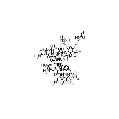 CC[C@H](C)[C@H](NC(=O)[C@@H](NC(=O)[C@@H](CCC(=O)O)NC1(C(C)(NCC(=O)N[C@@H](CCC(=O)O)C(=O)N[C@@H](CCCNC(=N)N)C(=O)C(C(=O)O)C(=O)CCCCCNC(=O)CI)N[C@@H](CCC(N)=O)C(=O)N[C@@H](CC(N)=O)C(=O)N[C@H](C(=O)N[C@@H](Cc2ccccc2)C(N)=O)C(C)C)CC1)C(C)C)C(=O)NCC(N)=O